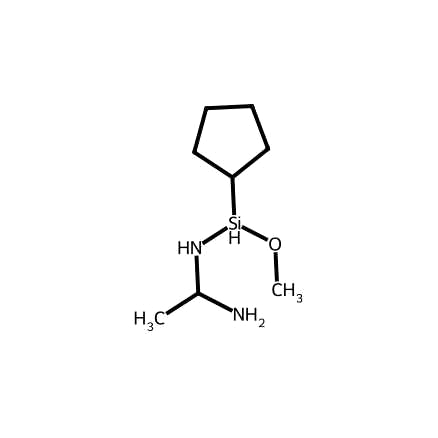 CO[SiH](NC(C)N)C1CCCC1